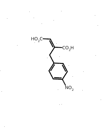 O=C(O)/C=C(\Cc1ccc([N+](=O)[O-])cc1)C(=O)O